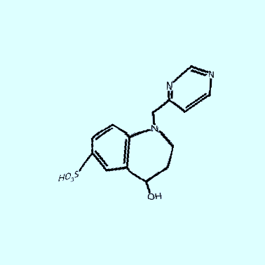 O=S(=O)(O)c1ccc2c(c1)C(O)CCN2Cc1ccncn1